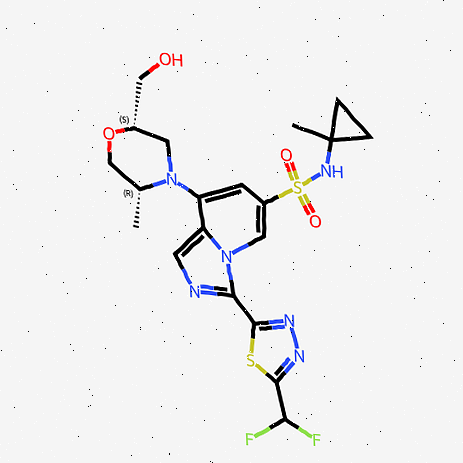 C[C@@H]1CO[C@H](CO)CN1c1cc(S(=O)(=O)NC2(C)CC2)cn2c(-c3nnc(C(F)F)s3)ncc12